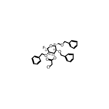 O=C(CCl)O[C@@H]1[C@@H](OCc2ccccc2)[C@H](F)O[C@H](COCc2ccccc2)[C@@H]1OCc1ccccc1